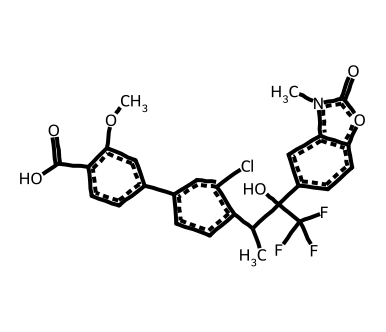 COc1cc(-c2ccc(C(C)C(O)(c3ccc4oc(=O)n(C)c4c3)C(F)(F)F)c(Cl)c2)ccc1C(=O)O